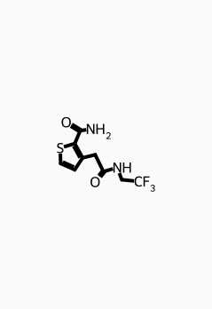 NC(=O)c1sccc1CC(=O)NCC(F)(F)F